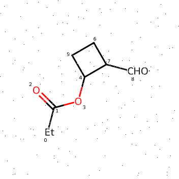 CCC(=O)OC1CCC1[C]=O